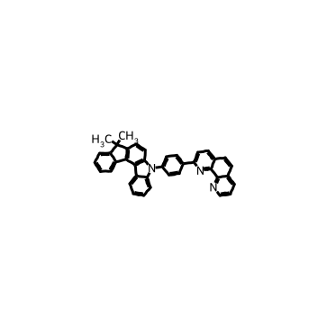 CC1(C)c2ccccc2-c2c1ccc1c2c2ccccc2n1-c1ccc(-c2ccc3ccc4cccnc4c3n2)cc1